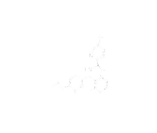 O=C(N[C@@H](c1ccc(OCF)c(F)c1)c1ncccc1F)c1ccc(O)cn1